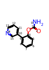 NC(=O)Oc1ccccc1-c1cccnc1